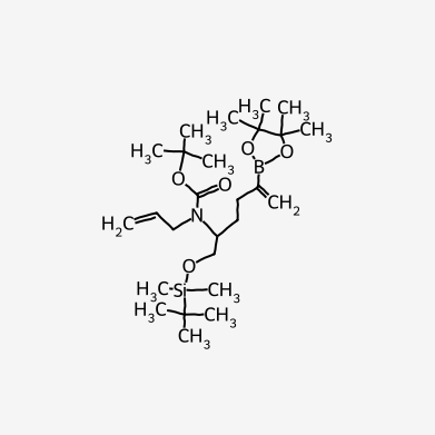 C=CCN(C(=O)OC(C)(C)C)C(CCC(=C)B1OC(C)(C)C(C)(C)O1)CO[Si](C)(C)C(C)(C)C